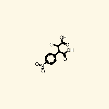 O=C(O)C(Cl)C(C(=O)O)c1ccc([N+](=O)[O-])cc1